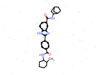 CC1CCCCC1NC(=O)c1ccc(-c2nc3cc(C(=O)NC4CC5CCC4C5)ccc3[nH]2)cc1